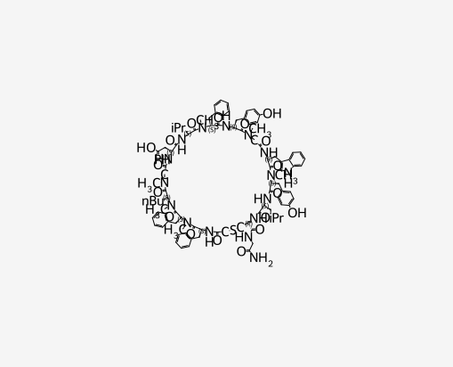 CCCC[C@H]1C(=O)N(C)CC(=O)N[C@@H](CC(O)=P)C(=O)N[C@@H](C(C)C)C(=O)N(C)[C@@H](Cc2ccccc2)C(=O)N[C@@H](Cc2ccc(O)cc2)C(=O)N(C)CC(=O)N[C@@H](Cc2c[nH]c3ccccc23)C(=O)N(C)[C@@H](Cc2ccc(O)cc2)C(=O)N[C@@H](CC(C)C)C(=O)N[C@H](C(=O)NCC(N)=O)CSCC(=O)N[C@@H](Cc2ccccc2)C(=O)N(C)[C@@H](Cc2ccccc2)C(=O)N1C